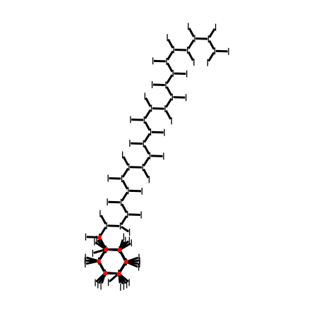 II(I)I(I)I(I)I(I)I(I)I(I)I(I)I(I)I(I)I(I)I(I)I(I)I(I)I(I)I(I)I(I)I(I)I(I)I(I)I(I)I(I)I(I)I(I)I(I)I(I)I(I)I(I)I(I)I(I)I(I)I(I)I(I)I(I)I(I)I(I)I(I)I(I)I(I)I(I)I(I)I(I)I(I)I(I)I(I)I(I)I(I)I